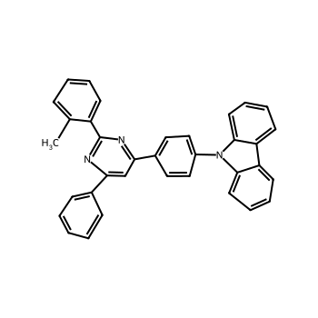 Cc1ccccc1-c1nc(-c2ccccc2)cc(-c2ccc(-n3c4ccccc4c4ccccc43)cc2)n1